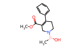 COC(=O)C1=C(c2ccccc2)CCN(B(C)O)C1